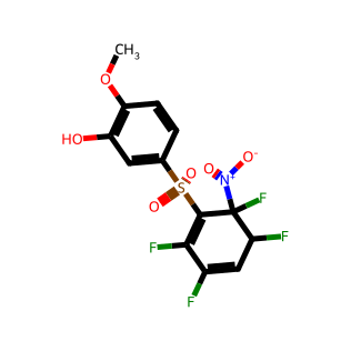 COc1ccc(S(=O)(=O)C2=C(F)C(F)=CC(F)C2(F)[N+](=O)[O-])cc1O